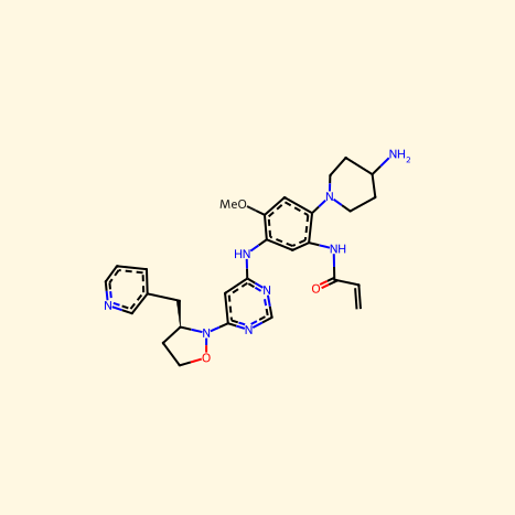 C=CC(=O)Nc1cc(Nc2cc(N3OCC[C@H]3Cc3cccnc3)ncn2)c(OC)cc1N1CCC(N)CC1